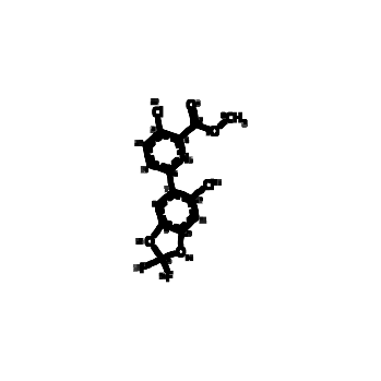 COC(=O)c1nc(-c2cc3c(cc2Cl)OC(F)(F)O3)ccc1Cl